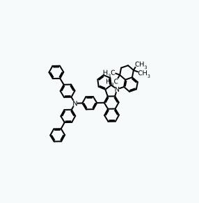 CC1(C)CCC(C)(C)c2c(-n3c4ccccc4c4c(-c5ccc(N(c6ccc(-c7ccccc7)cc6)c6ccc(-c7ccccc7)cc6)cc5)c5ccccc5cc43)cccc21